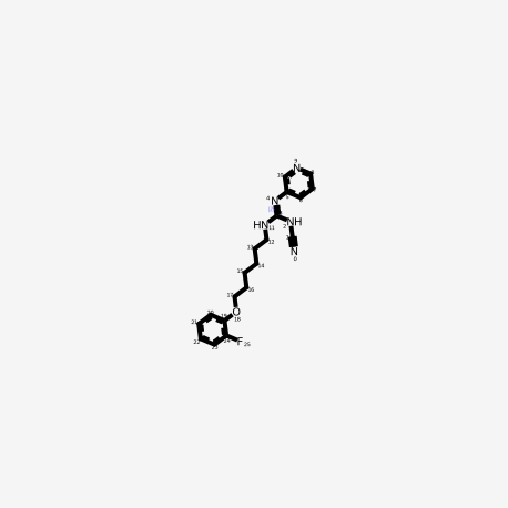 N#CN/C(=N\c1cccnc1)NCCCCCCOc1ccccc1F